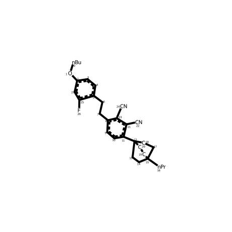 CCCCOc1ccc(CCc2ccc(C34CCC(CCC)(CC3)CC4)c(C#N)c2C#N)c(F)c1